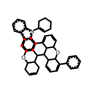 C1=CC2OC3C(c4ccccc4)=CC=CC3C(C3c4ccccc4OC4CC=CCC43)C2C(c2cccc3c4ccccc4n(C4=CCCCC4)c23)=C1